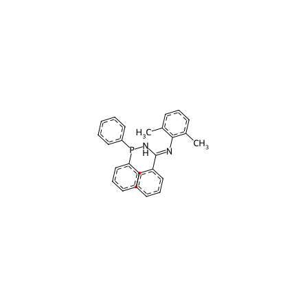 Cc1cccc(C)c1/N=C(\NP(c1ccccc1)c1ccccc1)c1ccccc1